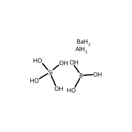 OB(O)O.O[Si](O)(O)O.[AlH3].[BaH2]